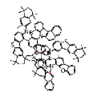 Cc1cc2c(cc1N1B3c4c(cc5oc6ccccc6c5c4-n4c5ccc6ccccc6c5c5cccc3c54)-c3c1ccc1sc4cc5c(cc4c31)C(C)(C[SH]1c3cc4c(cc3-c3c(N6B7c8c(cc9c(oc%10ccccc%109)c8-n8c9cc%10ccccc%10cc9c9cccc7c98)-c7c6ccc6sc8cc9c(cc8c76)C(C)(C)CCC9(C)C)cccc31)C(C)(C)CCC4(C)C)CCC5(C)C)C(C)(C)CCC2(C)C